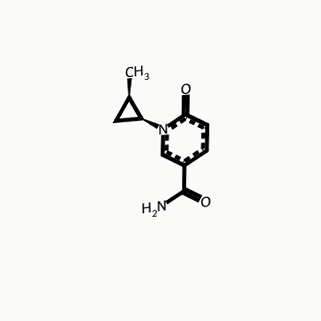 C[C@@H]1C[C@@H]1n1cc(C(N)=O)ccc1=O